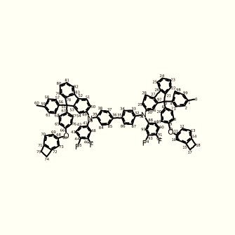 Cc1ccc(C2(c3ccc(Oc4ccc5c(c4)CC5)cc3)c3ccccc3-c3ccc(N(c4ccc(-c5ccc(N(c6ccc(F)c(F)c6)c6ccc7c(c6)C(c6ccc(C)cc6)(c6ccc(Oc8ccc9c(c8)CC9)cc6)c6ccccc6-7)cc5)cc4)c4ccc(F)c(F)c4)cc32)cc1